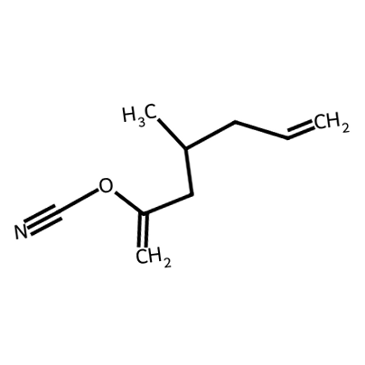 C=CCC(C)CC(=C)OC#N